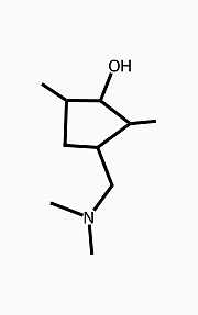 CC1CC(CN(C)C)C(C)C1O